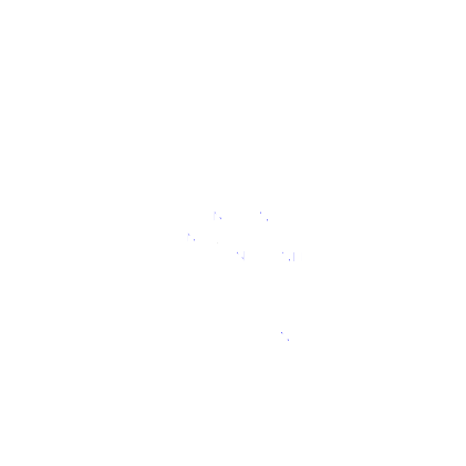 NC1(CC2CC2)N=C(Nc2ccncc2)N=C(c2ccccc2)N1